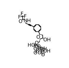 O=C(NCC#CC1=C/C=C\C=C([C@H]2CC(O)[C@@H](COP(=O)(O)OP(=O)(O)OP(=O)(O)O)O2)/C=C\1)C(F)(F)F